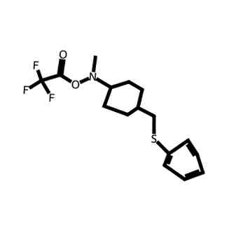 CN(OC(=O)C(F)(F)F)C1CCC(CSc2ccccc2)CC1